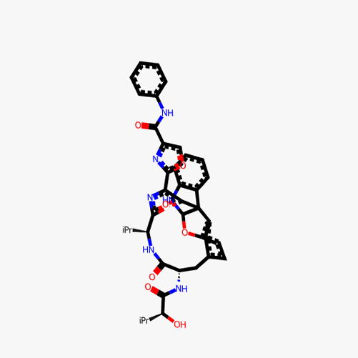 CC(C)[C@H](O)C(=O)N[C@H]1Cc2ccc3c(c2)C2(c4ccccc4NC2O3)c2oc(nc2-c2nc(C(=O)Nc3ccccc3)co2)[C@H](C(C)C)NC1=O